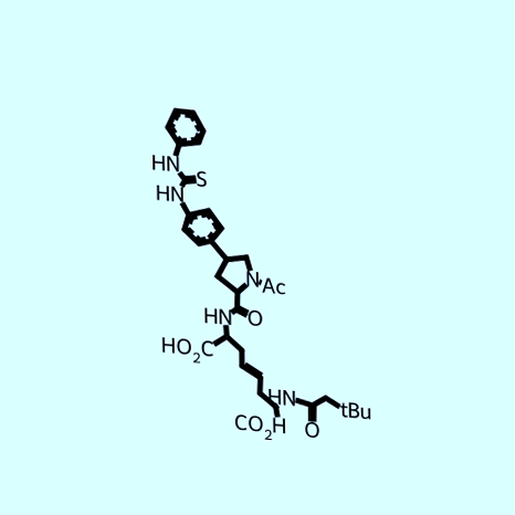 CC(=O)N1CC(c2ccc(NC(=S)Nc3ccccc3)cc2)CC1C(=O)NC(C/C=C/CC(NC(=O)CC(C)(C)C)C(=O)O)C(=O)O